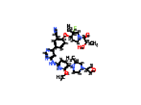 COc1nc(Nc2cc(-c3ccc(OC4CCN(C(=O)[C@H](C)O)CC4(C)F)c(C#N)c3)ncn2)ccc1N1CCN(C2COC2)C[C@@H]1C